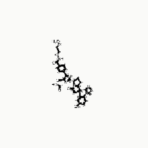 COCCONC(=O)c1ccc(-c2[nH]c([C@@H]3CCc4cc(-c5cc(Cl)ccc5-n5cnnn5)cc(=O)n43)nc2Cl)cc1.O=CO